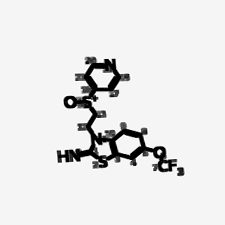 N=c1sc2cc(OC(F)(F)F)ccc2n1CC[S+]([O-])c1ccncc1